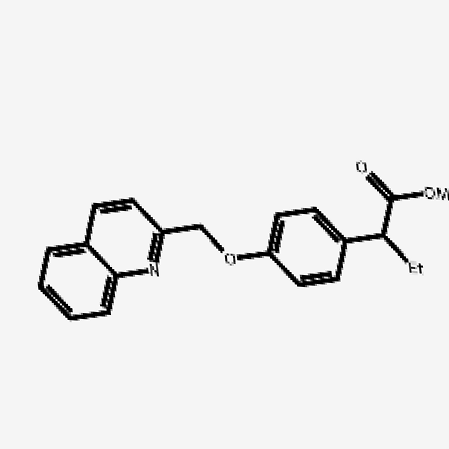 CCC(C(=O)OC)c1ccc(OCc2ccc3ccccc3n2)cc1